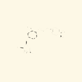 O=C1NC(=O)/C(=C/c2ccc(OCCN3CCS(=O)(=O)CC3)c(Cl)c2)S1